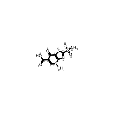 Cn1cc(C(=O)O)c(=O)c2sc(S(C)(=O)=O)nc21